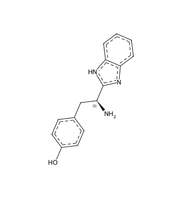 N[C@@H](Cc1ccc(O)cc1)c1nc2ccccc2[nH]1